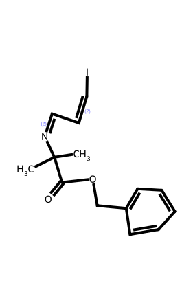 CC(C)(/N=C\C=C/I)C(=O)OCc1ccccc1